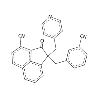 N#Cc1cccc(CC2(Cc3ccncc3)C(=O)c3c(C#N)ccc4cccc2c34)c1